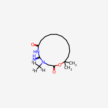 [2H]C([2H])([2H])N1CC(=O)OC(C)(C)CCCCCCCCCC(=O)NC1=N